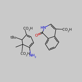 CC(C)(C)C1C(C(=O)O)=CC=C(N)C1(C)C(=O)O.O=C(O)c1c[nH]c(=O)c2ccccc12